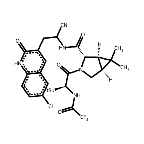 CC(C)(C)[C@H](NC(=O)C(F)(F)F)C(=O)N1C[C@H]2[C@@H]([C@H]1C(=O)NC(C#N)Cc1cc3cc(Cl)ccc3[nH]c1=O)C2(C)C